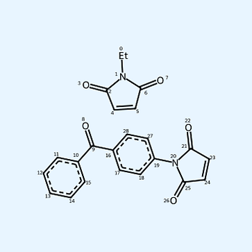 CCN1C(=O)C=CC1=O.O=C(c1ccccc1)c1ccc(N2C(=O)C=CC2=O)cc1